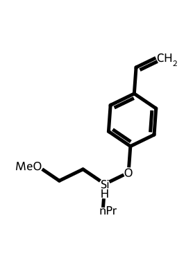 C=Cc1ccc(O[SiH](CCC)CCOC)cc1